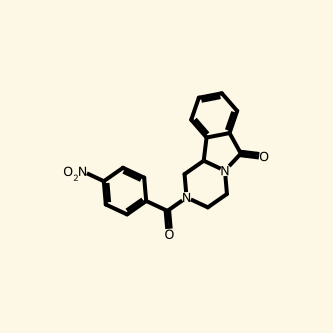 O=C(c1ccc([N+](=O)[O-])cc1)N1CCN2C(=O)c3ccccc3C2C1